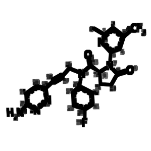 Cc1cc(C(F)(F)F)cc(N2C(=O)CC[C@H]2C(=O)N(CC#Cc2ccc(N)nn2)c2ccc(F)cc2)n1